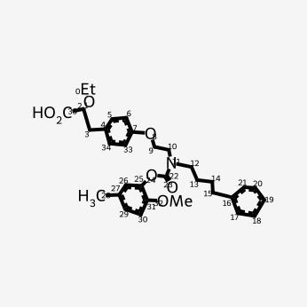 CCOC(Cc1ccc(OCCN(CCCCc2ccccc2)C(=O)Oc2cc(C)ccc2OC)cc1)C(=O)O